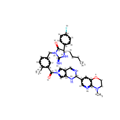 CN1CCOc2cc(C3N=Cc4cn(C(=O)c5cc(CN6C(=N)N[C@](CCCC(F)(F)F)(c7ccc(F)cc7)C6=O)ccc5C(F)(F)F)cc4N3)cnc21